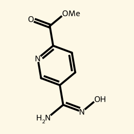 COC(=O)c1ccc(/C(N)=N\O)cn1